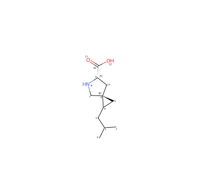 CC(C)CC1C[C@]12CN[C@H](C(=O)O)C2